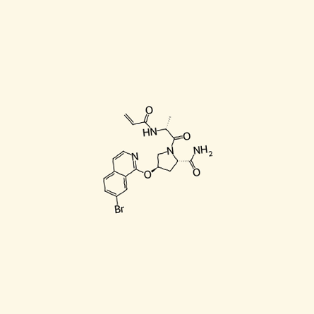 C=CC(=O)N[C@H](C)C(=O)N1C[C@H](Oc2nccc3ccc(Br)cc23)C[C@H]1C(N)=O